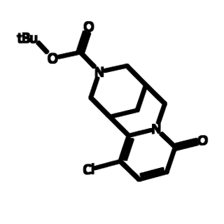 CC(C)(C)OC(=O)N1CC2CC(C1)c1c(Cl)ccc(=O)n1C2